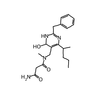 CCCC(C)C1=C(CN(C)C(=O)CC(N)=O)C(O)NC(Cc2ccccc2)=N1